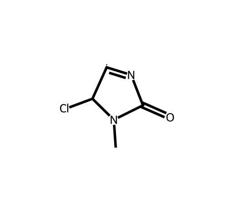 CN1C(=O)N=[C]C1Cl